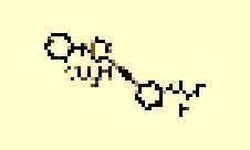 O=C(O)c1ccccc1-n1ccc(C#Cc2cccc(OC(F)F)c2)c1